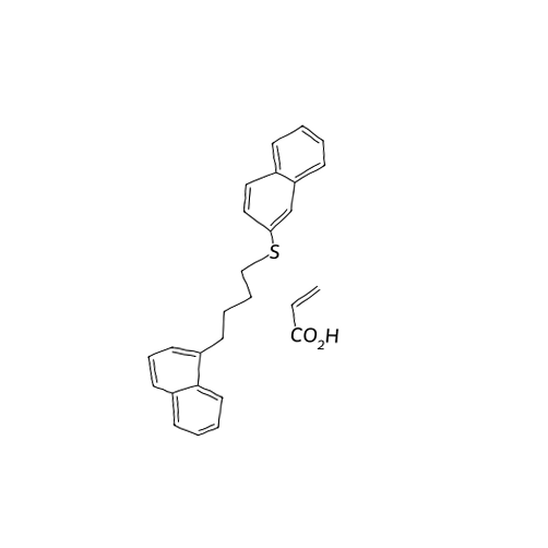 C=CC(=O)O.c1ccc2cc(SCCCCc3cccc4ccccc34)ccc2c1